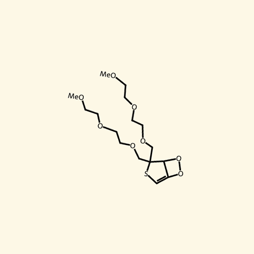 COCCOCCOCC1(COCCOCCOC)SC=C2OOC21